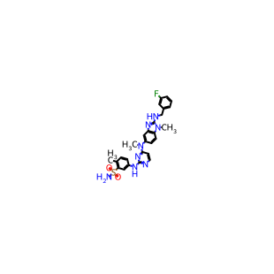 Cc1ccc(Nc2nccc(N(C)c3ccc4c(c3)nc(NCc3cccc(F)c3)n4C)n2)cc1S(N)(=O)=O